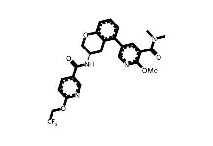 COc1ncc(-c2cccc3c2C[C@H](NC(=O)c2ccc(OCC(F)(F)F)nc2)CO3)cc1C(=O)N(C)C